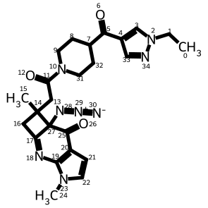 CCn1cc(C(=O)C2CCN(C(=O)CC3(C)CC4=Nc5c(ccn5C)C(=O)C43N=[N+]=[N-])CC2)cn1